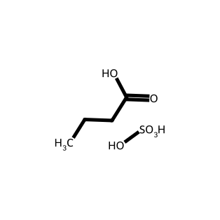 CCCC(=O)O.O=S(=O)(O)O